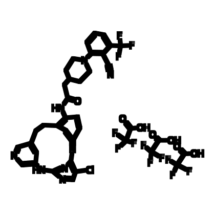 N#Cc1c(N2CCC(CC(=O)Nc3ccc4cc3CCc3cncc(c3)Nc3ncc(Cl)c(n3)N4)CC2)cccc1C(F)(F)F.O=C(O)C(F)(F)F.O=C(O)C(F)(F)F.O=C(O)C(F)(F)F